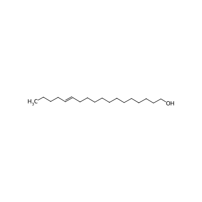 CCCCC=CCCCCCCCCCCCCO